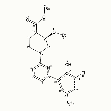 CCO[C@H]1CN(c2cccc(-c3cc(C)cc(Cl)c3O)n2)CC[C@H]1C(=O)OC(C)(C)C